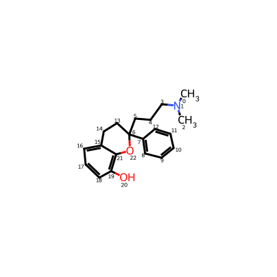 CN(C)CCCC1(c2ccccc2)CCc2cccc(O)c2O1